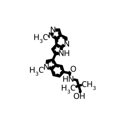 Cn1cc(-c2cc3c(ncc4cnn(C)c43)[nH]2)c2cc(C(=O)NCC(C)(C)CO)ccc21